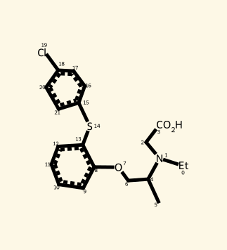 CCN(CC(=O)O)C(C)COc1ccccc1Sc1ccc(Cl)cc1